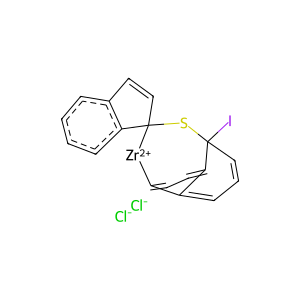 IC12C=CC=C3[C](=CC=C31)[Zr+2][C]1(C=Cc3ccccc31)S2.[Cl-].[Cl-]